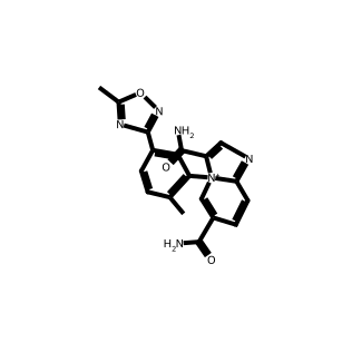 Cc1nc(-c2ccc(C)c([N+]34C=C(C(N)=O)C=CC3=NC=C4C(N)=O)c2)no1